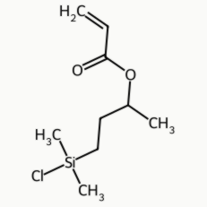 C=CC(=O)OC(C)CC[Si](C)(C)Cl